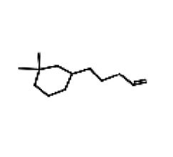 C=CCCCC1CCCC(C)(C)C1